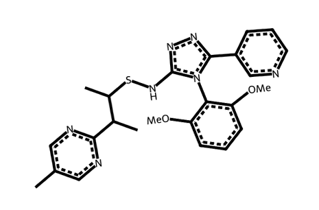 COc1cccc(OC)c1-n1c(NSC(C)C(C)c2ncc(C)cn2)nnc1-c1cccnc1